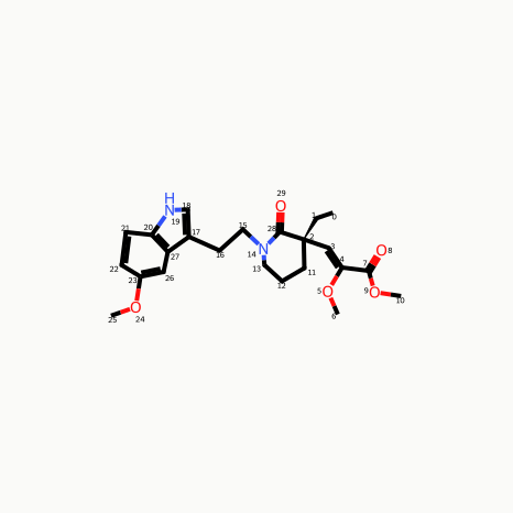 CC[C@@]1(/C=C(\OC)C(=O)OC)CCCN(CCc2c[nH]c3ccc(OC)cc23)C1=O